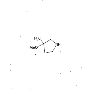 COC1(C)CCNC1